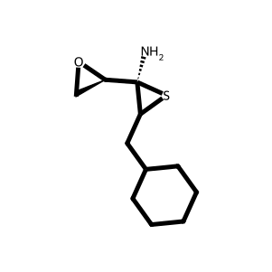 N[C@]1([C@H]2CO2)SC1CC1CCCCC1